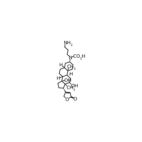 C[C@]12CC[C@H](N(CCCN)C(=O)O)C[C@H]1CC[C@@H]1[C@@H]2C[C@@H](O)[C@]2(C)[C@@H](C3=CC(=O)OC3)CC[C@]12O